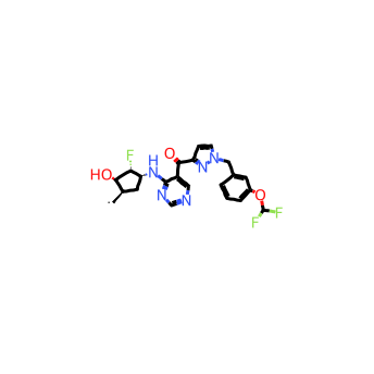 [CH2][C@@H]1C[C@@H](Nc2ncncc2C(=O)c2ccn(Cc3cccc(OC(F)F)c3)n2)[C@@H](F)[C@@H]1O